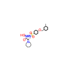 Cc1cccc(COc2ccc(S(=O)(=O)NC[C@@H](C(=O)NO)N3CCCCCC3)cc2)c1